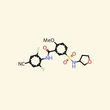 COc1ccc(S(=O)(=O)NC2CCOC2)cc1C(=O)Nc1c(F)cc(C#N)cc1F